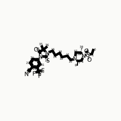 CCS(=O)(=O)N1C[C@@H](C)N(CCCCCCN2C(=S)N(c3ccc(C#N)c(C(F)(F)F)c3)C(=O)C2(C)C)C[C@@H]1C